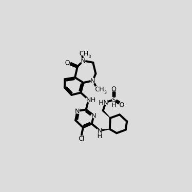 CN1CCN(C)c2c(Nc3ncc(Cl)c(N[C@@H]4CCCC[C@@H]4CN[SH](=O)=O)n3)cccc2C1=O